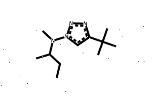 CCC(C)N(C)n1cc(C(C)(C)C)nn1